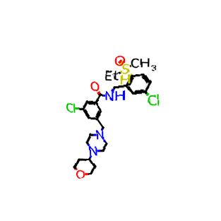 CC[SH](C)(=O)c1ccc(Cl)cc1CNC(=O)c1cc(Cl)cc(CN2CCN(C3CCOCC3)CC2)c1